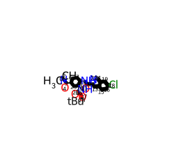 CN(C)C(=O)[C@H]1CC[C@H](NC(=O)c2cc3ccc(Cl)cc3cn2)[C@H](NC(=O)OC(C)(C)C)C1